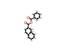 O=C(OC(=O)c1ccc2ccccc2c1)c1ccccc1